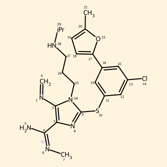 C=Nc1c(/C(N)=N\C)nc(Sc2cc(Cl)cc(-c3ccc(C)o3)c2)n1CCCNC(C)C